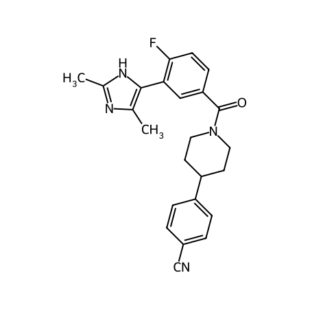 Cc1nc(C)c(-c2cc(C(=O)N3CCC(c4ccc(C#N)cc4)CC3)ccc2F)[nH]1